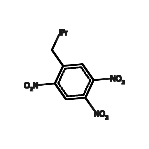 [CH2]C(C)Cc1cc([N+](=O)[O-])c([N+](=O)[O-])cc1[N+](=O)[O-]